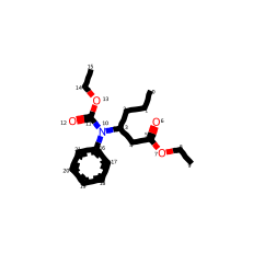 CCCC(CC(=O)OCC)N(C(=O)OCC)c1ccccc1